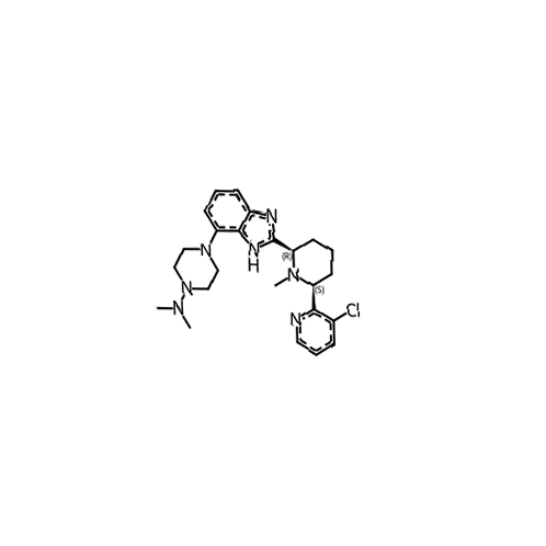 CN1[C@@H](c2nc3cccc(N4CCN(N(C)C)CC4)c3[nH]2)CCC[C@H]1c1ncccc1Cl